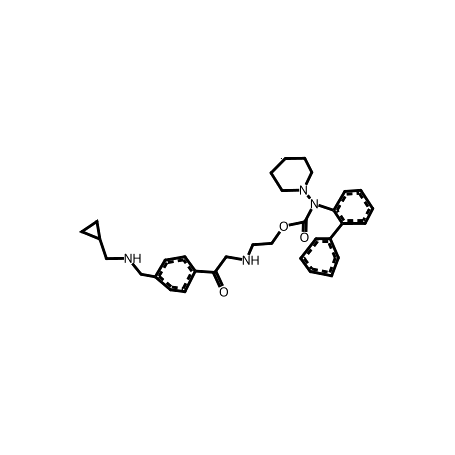 O=C(CNCCOC(=O)N(c1ccccc1-c1ccccc1)N1CC[CH]CC1)c1ccc(CNCC2CC2)cc1